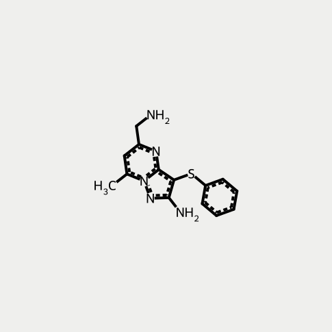 Cc1cc(CN)nc2c(Sc3ccccc3)c(N)nn12